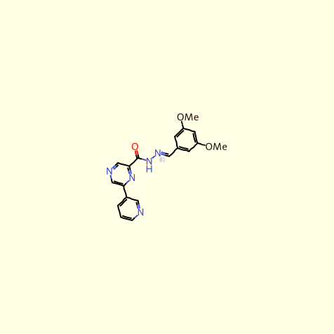 COc1cc(/C=N/NC(=O)c2cncc(-c3cccnc3)n2)cc(OC)c1